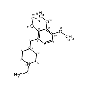 CCN1CCN(Cc2ccc(OC)c(OC)c2OC)CC1